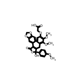 COc1ccc(C2(O)OC(=O)C(c3ccc4c(c3)OCO4)=C2Cc2ccc(OCC(=O)O)c(OC)c2OC)cc1